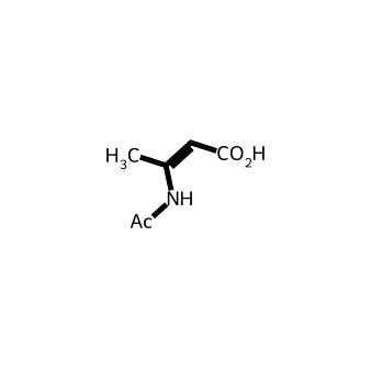 CC(=O)N/C(C)=C\C(=O)O